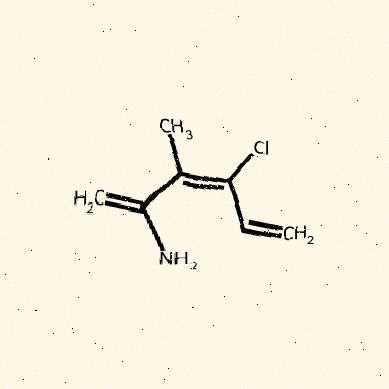 C=C/C(Cl)=C(/C)C(=C)N